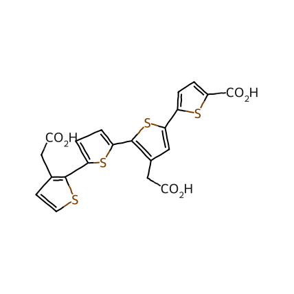 O=C(O)Cc1ccsc1-c1ccc(-c2sc(-c3ccc(C(=O)O)s3)cc2CC(=O)O)s1